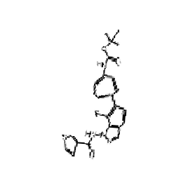 CC(C)(C)OC(=O)Nc1ccc(-c2ccc3cnn(NC(=O)c4ccsc4)c3c2F)cc1